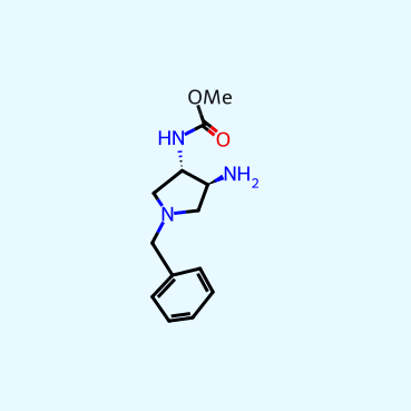 COC(=O)N[C@H]1CN(Cc2ccccc2)C[C@@H]1N